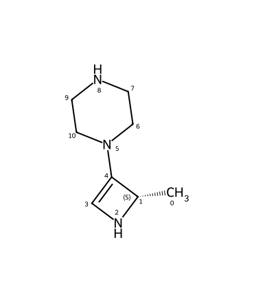 C[C@@H]1NC=C1N1CCNCC1